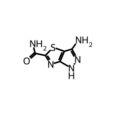 NC(=O)c1nc2[nH]nc(N)c2s1